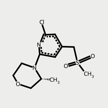 C[C@@H]1COCCN1c1cc(CS(C)(=O)=O)cc(Cl)n1